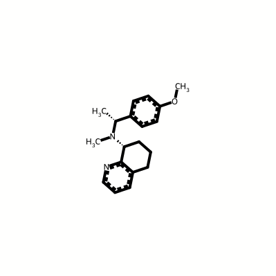 COc1ccc([C@@H](C)N(C)[C@@H]2CCCc3cccnc32)cc1